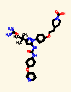 CC(C)(C)c1cc(NC(=O)Nc2ccc(Oc3cccnc3)cc2)n(-c2ccc(OCCC3CCN(C(=O)O)CC3)cc2)n1.NC(N)=O